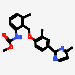 COC(=O)Nc1cccc(C)c1COc1ccc(-c2nccc(C)n2)cc1C